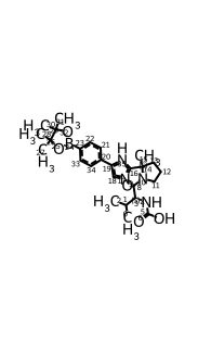 CC(C)[C@H](NC(=O)O)C(=O)N1CCC[C@@]1(C)c1ncc(-c2ccc(B3OC(C)(C)C(C)(C)O3)cc2)[nH]1